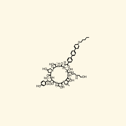 CCCCCOc1ccc(-c2ccc(-c3ccc(C(=O)N[C@H]4C[C@@H](O)C(NCCNCCO)NC(=O)C5[C@@H](O)[C@@H](C)CN5C(=O)C([C@@H](C)O)NC(=O)C([C@H](O)[C@@H](O)c5ccc(O)cc5)NC(=O)C5C[C@@H](O)CN5C(=O)C([C@@H](C)O)NC4=O)cc3)cc2)cc1